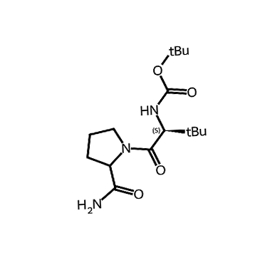 CC(C)(C)OC(=O)N[C@H](C(=O)N1CCCC1C(N)=O)C(C)(C)C